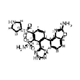 Nc1nc2c(-c3ccc(S(=O)(=O)[C@@H]4CCNC4)c(S(N)(=O)=O)c3-c3nn[nH]n3)cccc2o1